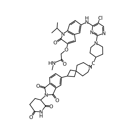 CNC(=O)COc1cc2cc(Nc3nc(N4CCC(CN5CCC6(CC5)CC(c5ccc7c(c5)C(=O)N(C5CCC(=O)NC5=O)C7=O)C6)CC4)ncc3Cl)ccc2n(C(C)C)c1=O